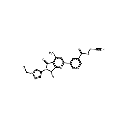 C#CCNC(=O)c1cncc(-c2cc(C)c3c(n2)C(C)N(c2cnn(CCl)c2)C3=O)c1